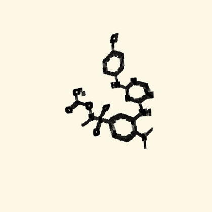 CN(C)c1ccc(S(=O)(=O)N(C)OC(=O)C(F)(F)F)cc1Nc1ncnc(Nc2ccc(Cl)cc2)n1